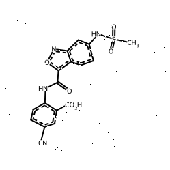 CS(=O)(=O)Nc1ccc2c(C(=O)Nc3ccc(C#N)cc3C(=O)O)onc2c1